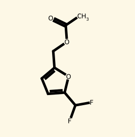 CC(=O)OCc1ccc(C(F)F)o1